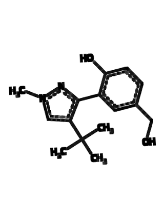 Cn1cc(C(C)(C)C)c(-c2cc(CO)ccc2O)n1